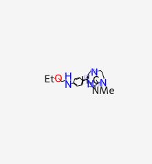 CCOCCNc1ccc(C2=C/C=N/CCC/N=C(C)/C(NC)=N\2)cc1